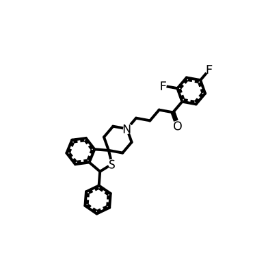 O=C(CCCN1CCC2(CC1)SC(c1ccccc1)c1ccccc12)c1ccc(F)cc1F